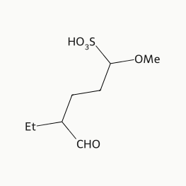 CCC(C=O)CCC(OC)S(=O)(=O)O